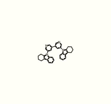 c1ccc2c(c1)c1c(n2-c2cncc(-c3cncc(-n4c5c(c6ccccc64)CCCC5)c3)c2)CCCC1